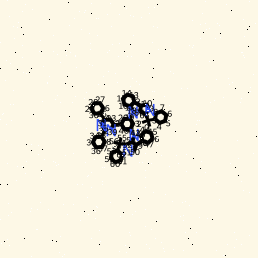 CC1(C)c2ccccc2-n2cc3c4ccccc4n(-c4cc(-c5cc(-c6ccccc6)nc(-c6ccccc6)n5)cc(-n5c6ccccc6c6cn7c(c65)C(C)(C)c5ccccc5-7)c4)c3c21